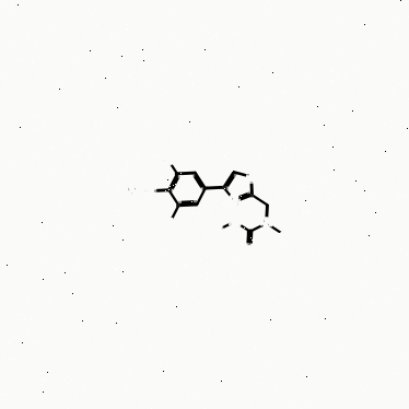 COc1c(C(C)(C)C)cc(-c2csc(CN(C)C(=O)OC(C)(C)C)n2)cc1C(C)(C)C